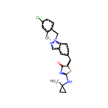 O=C1N=C(NC2(C(=O)O)CC2)SC1=Cc1ccc2c(cnn2Cc2ccc(Cl)cc2C(F)(F)F)c1